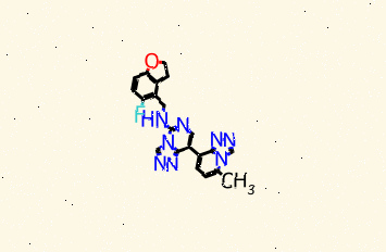 Cc1ccc(-c2cnc(NCc3c(F)ccc4c3CCO4)n3cnnc23)c2nncn12